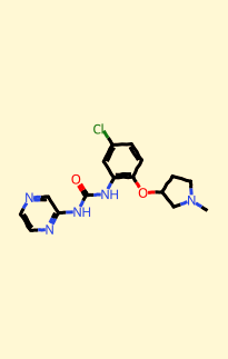 CN1CCC(Oc2ccc(Cl)cc2NC(=O)Nc2cnccn2)C1